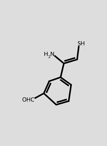 N/C(=C\S)c1cccc(C=O)c1